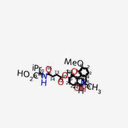 COc1ccc2c3c1O[C@H]1C(OC(=O)CCC(=O)NC(C(=O)O)C(C)C)=CC[C@@]4(O)[C@@H](C2)N(C)CC[C@]314